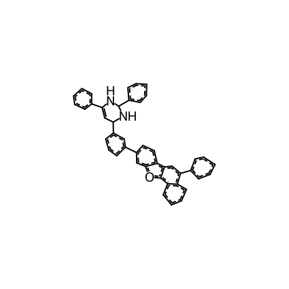 C1=C(c2ccccc2)NC(c2ccccc2)NC1c1cccc(-c2ccc3c(c2)oc2c4ccccc4c(-c4ccccc4)cc32)c1